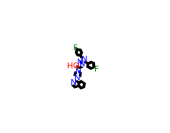 OC(Cn1nc(-c2ccc(F)cc2)nc1-c1ccc(F)cc1)N1CCN(c2nccc3ccccc23)CC1